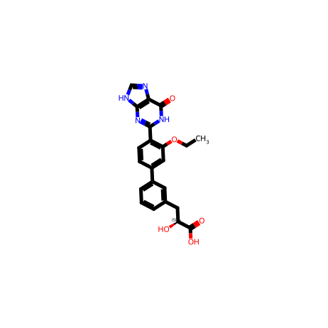 CCOc1cc(-c2cccc(C[C@H](O)C(=O)O)c2)ccc1-c1nc2[nH]cnc2c(=O)[nH]1